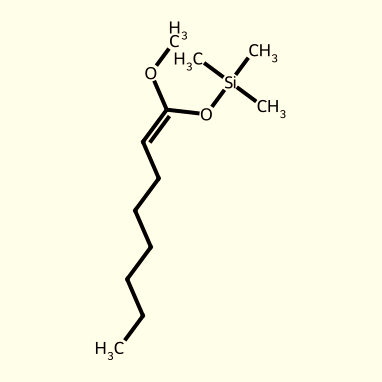 CCCCCC/C=C(/OC)O[Si](C)(C)C